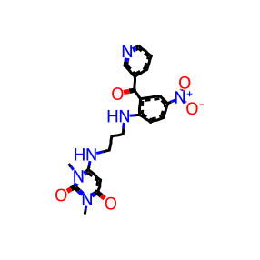 Cn1c(NCCCNc2ccc([N+](=O)[O-])cc2C(=O)c2cccnc2)cc(=O)n(C)c1=O